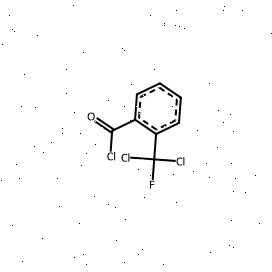 O=C(Cl)c1ccccc1C(F)(Cl)Cl